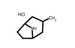 CC1CC2CCC(C1)N2.Cl